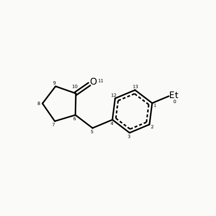 CCc1ccc(CC2CCCC2=O)cc1